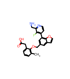 Cc1cccc(CC(=O)O)c1OCc1cc(-c2ccnc(CN)c2F)c2occc2c1